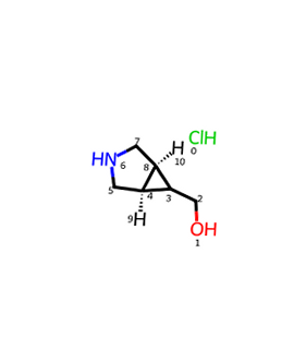 Cl.OCC1[C@H]2CNC[C@@H]12